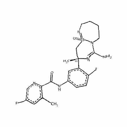 Cc1cc(F)cnc1C(=O)Nc1ccc(F)c([C@]2(C)CS3(=O)=NCCCCN3C(N)=N2)c1